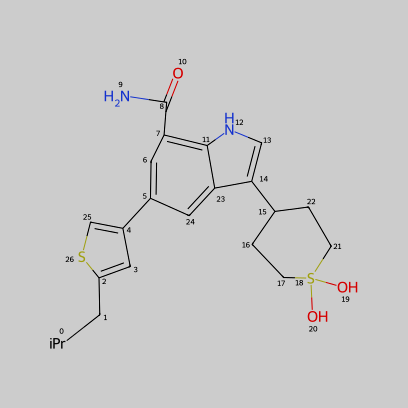 CC(C)Cc1cc(-c2cc(C(N)=O)c3[nH]cc(C4CCS(O)(O)CC4)c3c2)cs1